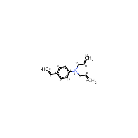 [CH]=Cc1ccc(N(CC=C)CC=C)cc1